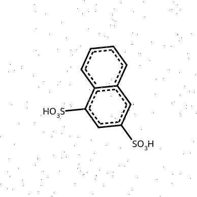 O=S(=O)(O)c1[c]c2ccccc2c(S(=O)(=O)O)c1